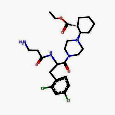 CCOC(=O)[C@@H]1CCCC[C@H]1N1CCN(C(=O)C(Cc2ccc(Cl)cc2Cl)NC(=O)CCN)CC1